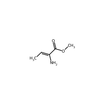 C/C=C(\N)C(=O)OC